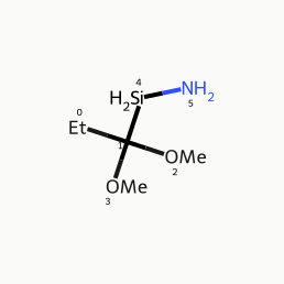 CCC(OC)(OC)[SiH2]N